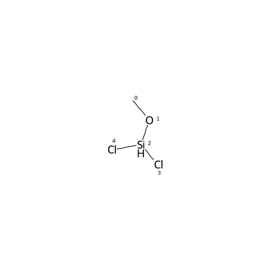 CO[SiH](Cl)Cl